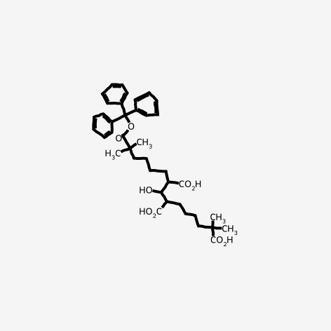 CC(C)(CCCCC(C(=O)O)C(O)C(CCCCC(C)(C)C(=O)OC(c1ccccc1)(c1ccccc1)c1ccccc1)C(=O)O)C(=O)O